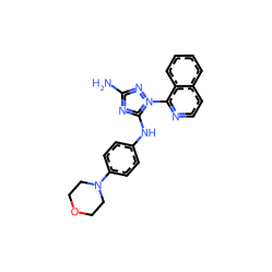 Nc1nc(Nc2ccc(N3CCOCC3)cc2)n(-c2nccc3ccccc23)n1